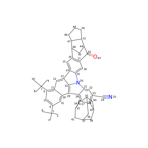 CC(C)(C)c1cc(C(C)(C)C)c2cc3c4cc5c(cc4n4c6cc(C#N)c7c(c6c(c2c1)c34)C1CC2CC(CC7C2)C1)C(=O)C1CC5C2CCCC12